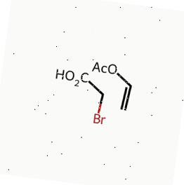 C=COC(C)=O.O=C(O)CBr